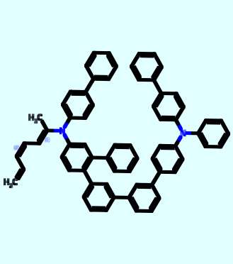 C=C/C=C\C=C(/C)N(c1ccc(-c2ccccc2)cc1)c1ccc(-c2cccc(-c3cccc(-c4ccc(N(c5ccccc5)c5ccc(-c6ccccc6)cc5)cc4)c3)c2)c(-c2ccccc2)c1